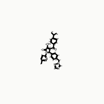 Cc1ccc(N2C(=O)C(O)=C(C(=O)c3ccc(C(C)C)cc3)C2c2ccc(Cn3cncn3)cc2)nn1